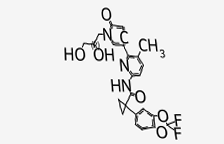 Cc1ccc(NC(=O)C2(c3ccc4c(c3)OC(F)(F)O4)CC2)nc1-c1ccc(=O)n(C[C@@H](O)CO)c1